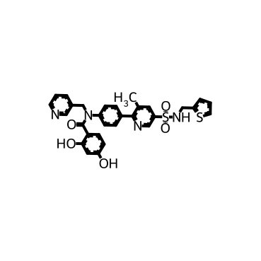 Cc1cc(S(=O)(=O)NCc2cccs2)cnc1-c1ccc(N(Cc2cccnc2)C(=O)c2ccc(O)cc2O)cc1